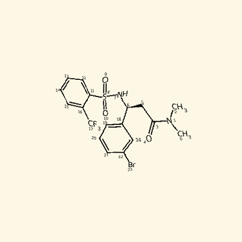 CN(C)C(=O)C[C@H](NS(=O)(=O)c1ccccc1C(F)(F)F)c1cccc(Br)c1